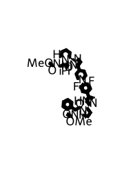 COC(=O)N[C@H](C(=O)N1CCCC[C@H]1c1ncc(C2CCN(c3c(F)cc(-c4cnc([C@@H]5CCCN5C(=O)[C@H](NC(=O)OC)c5ccccc5)[nH]4)cc3F)CC2)[nH]1)C(C)C